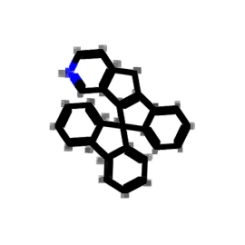 c1ccc2c(c1)C1=C(c3cnccc3C1)C21c2ccccc2-c2ccccc21